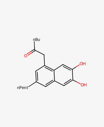 CCCCCc1cc(CC(=O)CCCC)c2cc(O)c(O)cc2c1